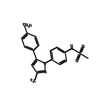 CS(=O)(=O)Nc1ccc(-n2nc(C(F)(F)F)cc2-c2ccc(C(=O)O)cc2)cc1